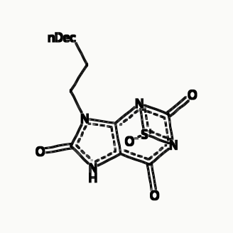 CCCCCCCCCCCCn1c(=O)[nH]c2c(=O)n3c(=O)n(c21)[s+]3[O-]